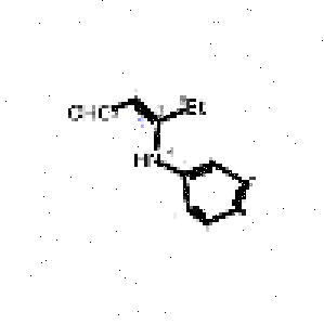 CC/C(=C/C=O)Nc1ccccc1